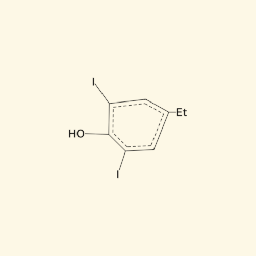 [CH2]Cc1cc(I)c(O)c(I)c1